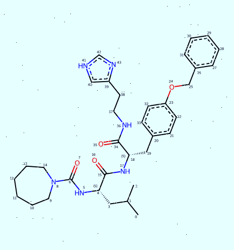 CC(C)C[C@H](NC(=O)N1CCCCCC1)C(=O)N[C@@H](Cc1ccc(OCc2ccccc2)cc1)C(=O)NCCc1c[nH]cn1